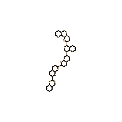 c1ccc2nc(-c3ccc4ccc(-c5ccc6ccc(-c7ccc(-c8ccc9ccc%10cccnc%10c9n8)c8ccccc78)cc6n5)cc4n3)ncc2c1